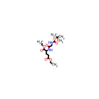 CCOC(=O)CCC(NC(=O)CNC(=O)OC(C)(C)C)C(=O)OCC